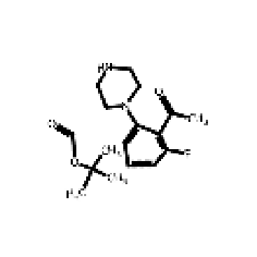 CC(=O)c1c(F)cccc1N1CCNCC1.CC(C)(C)OC=O